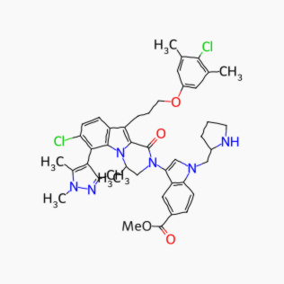 COC(=O)c1ccc2c(c1)c(N1CC(C)n3c(c(CCCOc4cc(C)c(Cl)c(C)c4)c4ccc(Cl)c(-c5c(C)nn(C)c5C)c43)C1=O)cn2CC1CCCN1